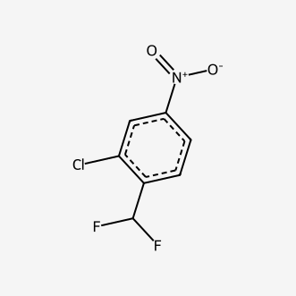 O=[N+]([O-])c1ccc(C(F)F)c(Cl)c1